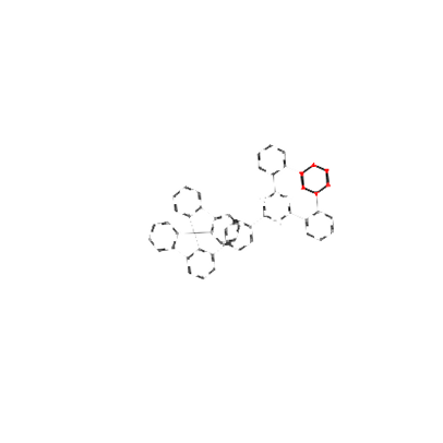 c1ccc(-c2ccccc2-c2nc(-c3ccc(-c4cccc5c4C4(c6ccccc6-c6ccccc64)c4ccccc4-5)cc3)nc(-c3ccccc3-c3ccccc3)n2)cc1